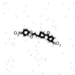 O=C(/C=C/c1ccc(C(=O)c2ccc([N+](=O)[O-])cc2)cc1)Oc1ccc([N+](=O)[O-])cc1